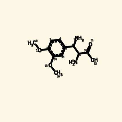 COc1ccc(C(N)C(N)C(=O)O)cc1OC